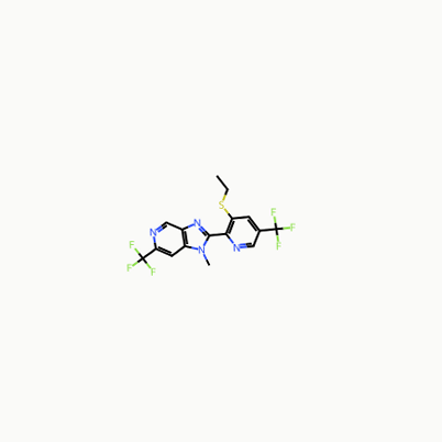 CCSc1cc(C(F)(F)F)cnc1-c1nc2cnc(C(F)(F)F)cc2n1C